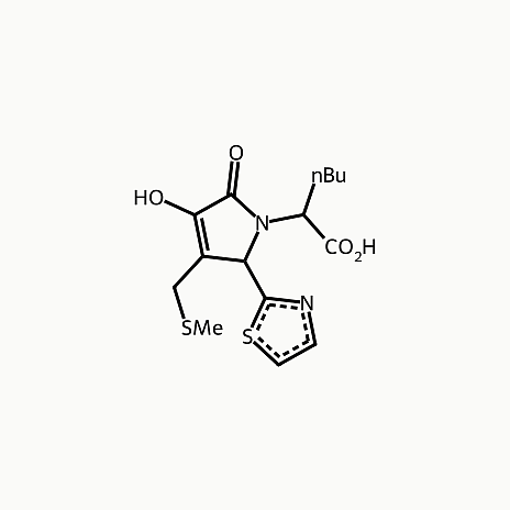 CCCCC(C(=O)O)N1C(=O)C(O)=C(CSC)C1c1nccs1